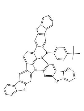 CC(C)(C)c1ccc(N2B3c4cc5c(cc4-n4c6cc7sc8ccccc8c7cc6c6ccc(c3c64)-c3cc4oc6ccccc6c4cc32)oc2ccccc25)cc1